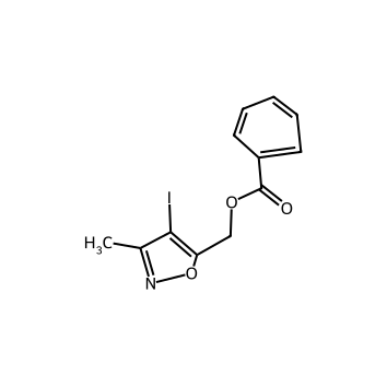 Cc1noc(COC(=O)c2ccccc2)c1I